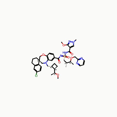 COc1nn(C)cc1C(=O)N[S@](=O)(C[C@@H](C)[C@H](C)OCc1ncccn1)=NC(=O)c1ccc2c(c1)N(C[C@@H]1CC[C@H]1[C@H](C)OC)C[C@@]1(CCCc3cc(Cl)ccc31)CO2